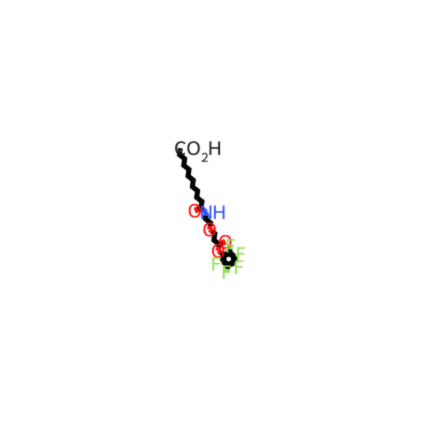 O=C(O)CCCCCCCCCCC(=O)NCCOCCC(=O)Oc1c(F)c(F)c(F)c(F)c1F